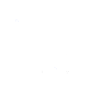 CON(C)C(=O)C=Cc1ccc2[nH]ccc2c1